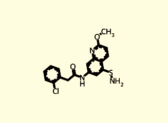 COc1ccc2c(SN)cc(NC(=O)Cc3ccccc3Cl)cc2n1